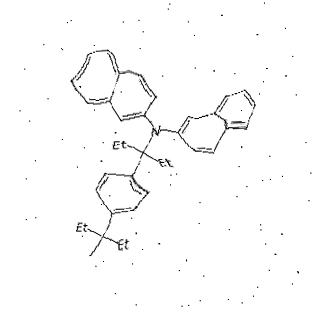 CCC(C)(CC)c1ccc(C(CC)(CC)N(c2ccc3ccccc3c2)c2ccc3ccccc3c2)cc1